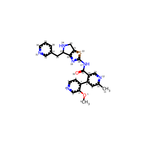 COc1cnccc1-c1cc(C)ncc1C(=O)Nc1nc2c(s1)CNC2Cc1cccnc1